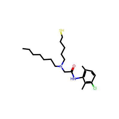 CCCCCCCN(CCCCCS)CC(=O)Nc1c(C)ccc(Cl)c1C